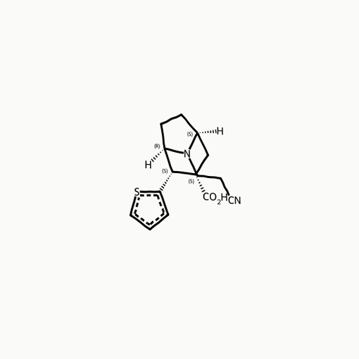 N#CCCN1[C@H]2CC[C@@H]1[C@@H](c1cccs1)[C@@H](C(=O)O)C2